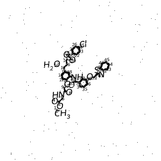 CCOC(=O)CNC(=O)COc1ccc(CCCS(=O)(=O)c2ccc(Cl)cc2)cc1NC(=O)c1cccc(OCc2nc3ccccc3s2)c1.O